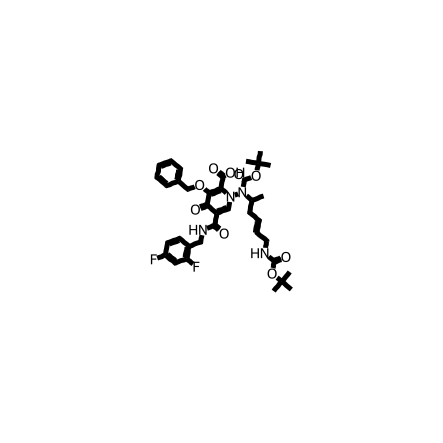 CC(CC=CCNC(=O)OC(C)(C)C)N(C(=O)OC(C)(C)C)n1cc(C(=O)NCc2ccc(F)cc2F)c(=O)c(OCc2ccccc2)c1C(=O)O